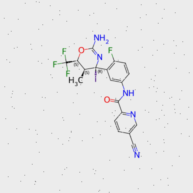 C[C@H]1[C@@H](C(F)(F)F)OC(N)=N[C@]1(I)c1cc(NC(=O)c2ccc(C#N)cn2)ccc1F